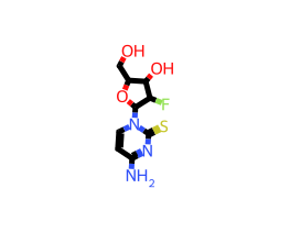 Nc1ccn(C2OC(CO)C(O)C2F)c(=S)n1